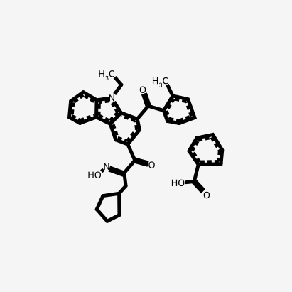 CCn1c2ccccc2c2cc(C(=O)C(CC3CCCC3)=NO)cc(C(=O)c3ccccc3C)c21.O=C(O)c1ccccc1